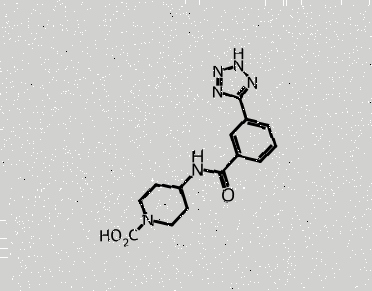 O=C(NC1CCN(C(=O)O)CC1)c1cccc(-c2nn[nH]n2)c1